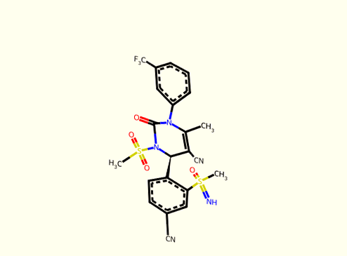 CC1=C(C#N)[C@@H](c2ccc(C#N)cc2S(C)(=N)=O)N(S(C)(=O)=O)C(=O)N1c1cccc(C(F)(F)F)c1